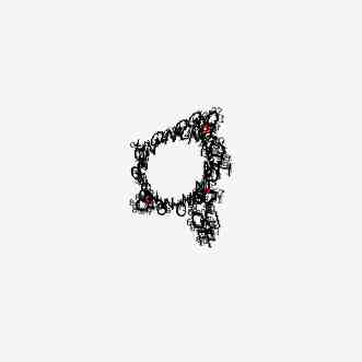 CC[C@H](C)[C@@H]1NC(=O)[C@H](C)N(C)C(=O)C[C@@H](C(=O)N2CCCCC2)N(C)C(=O)[C@H](C(C)C)N(C)C(=O)C2(CCCC2)NC(=O)[C@H](Cc2ccc(F)cc2)N(C)C(=O)[C@H](CCc2ccc(C(F)(F)F)c(Cl)c2)NC(=O)CN(C)C(=O)[C@H](CC2CCCCC2)N(C)C(=O)CN(C)C(=O)CN(C)C1=O